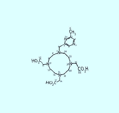 Cc1cncc(CN2CCN(CC(=O)O)CCN(CC(=O)O)CCN(CC(=O)O)CC2)n1